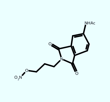 CC(=O)Nc1ccc2c(c1)C(=O)N(CCCO[N+](=O)[O-])C2=O